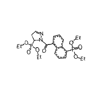 CCOP(=O)(OCC)c1cccc2c(C(=O)N3N=CCC3P(=O)(OCC)OCC)cccc12